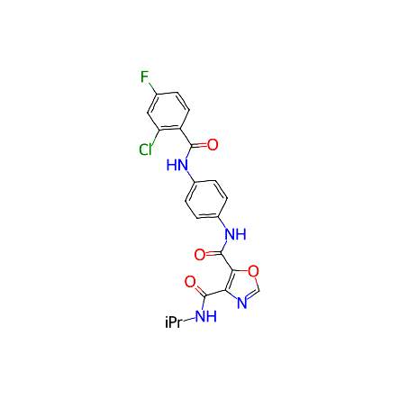 CC(C)NC(=O)c1ncoc1C(=O)Nc1ccc(NC(=O)c2ccc(F)cc2Cl)cc1